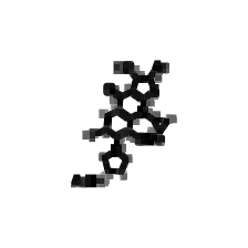 COc1c(N2CC[C@H](NC(C)=O)C2)c(F)cc2c(=O)c3c(O)c(C(C)=O)sc3n(C3CC3)c12